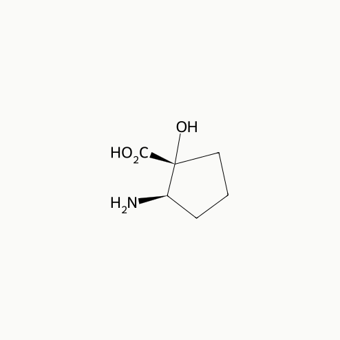 N[C@@H]1CCC[C@]1(O)C(=O)O